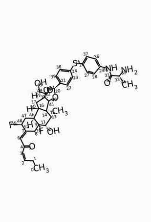 CC/C=C\C(=O)/C=C1\C[C@@]2(F)[C@@H](O)C[C@@]3(C)[C@@H](C[C@H]4O[C@@H](c5ccc(Sc6ccc(NC(=O)[C@H](C)N)cc6)cc5)O[C@]43C(=O)CO)[C@@H]2C[C@@H]1F